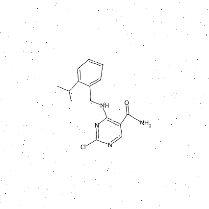 CC(C)c1ccccc1CNc1nc(Cl)ncc1C(N)=O